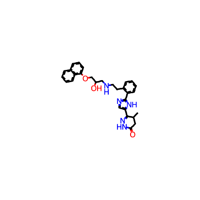 CC1CC(=O)NN=C1c1cnc(-c2ccccc2CCNCC(O)COc2cccc3ccccc23)[nH]1